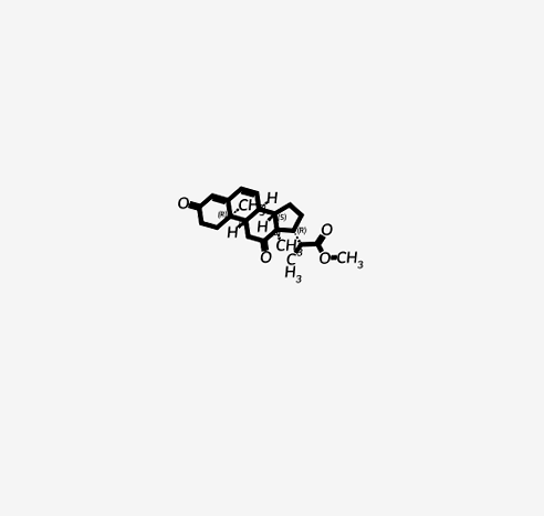 COC(=O)C(C)[C@H]1CC[C@H]2[C@@H]3C=CC4=CC(=O)CC[C@]4(C)[C@H]3CC(=O)[C@]12C